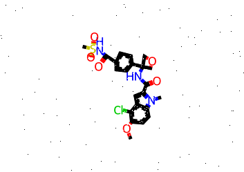 COc1ccc2c(cc(C(=O)NC3(c4ccc(C(=O)NS(C)(=O)=O)cc4)COC3)n2C)c1Cl